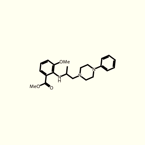 COC(=O)c1cccc(OC)c1NC(C)CN1CCN(c2ccccc2)CC1